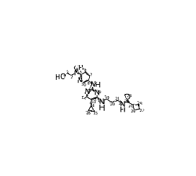 CN(CCO)c1ccc(Nc2ncc(C3CC3)c(NCCCNC(=O)C3CCC3)n2)cn1